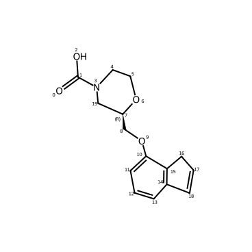 O=C(O)N1CCO[C@@H](COc2cccc3c2CC=C3)C1